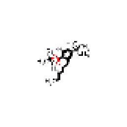 [2H]c1cc([Si](C)(C)C)cc(CCCCCC)c1C(=O)OC(C)(C)C